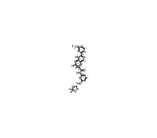 CC1(C)OC[C@@H](COc2ccnc(NC(=O)C3C[C@H]4CN3C3=CN=C(c5cccc(C(F)(F)F)c5)NC3=N4)n2)O1